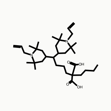 C=CCN1C(C)(C)CC(C(CCCC(CCCC)(C(=O)O)C(=O)O)C2CC(C)(C)N(CC=C)C(C)(C)C2)CC1(C)C